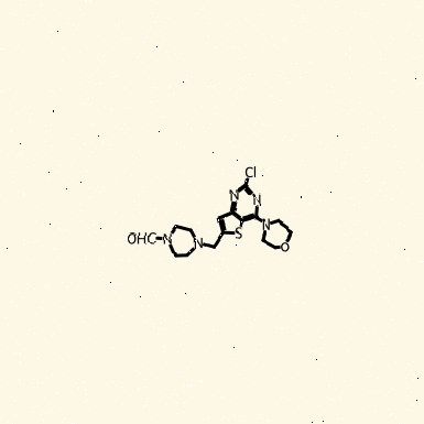 O=CN1CCN(Cc2cc3nc(Cl)nc(N4CCOCC4)c3s2)CC1